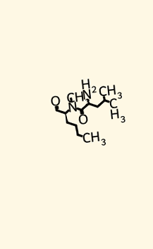 CCCC[C@@H](C=O)N(C)C(=O)[C@@H](N)CC(C)C